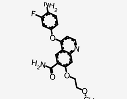 COCCOc1cc2nccc(Oc3ccc(N)c(F)c3)c2cc1C(N)=O